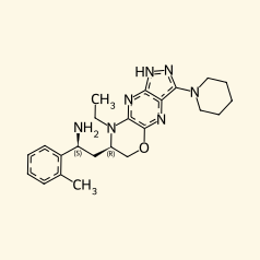 CCN1c2nc3[nH]nc(N4CCCCC4)c3nc2OC[C@H]1C[C@H](N)c1ccccc1C